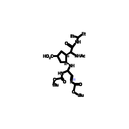 CCC(CC)NC(=O)C(NC(C)=O)[C@@H]1CC(C(=O)O)C[C@H]1NC(/C=N/C(=O)OC(C)(C)C)NC(=O)OC(C)(C)C